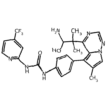 Cc1cn2ncnc(C(C)(C)C(N)O)c2c1-c1ccc(NC(=O)Nc2cc(C(F)(F)F)ccn2)cc1